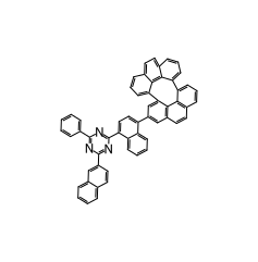 c1ccc(-c2nc(-c3ccc4ccccc4c3)nc(-c3ccc(-c4cc5ccc6cccc7c8cccc9ccc%10cccc(c(c4)c5c67)c%10c98)c4ccccc34)n2)cc1